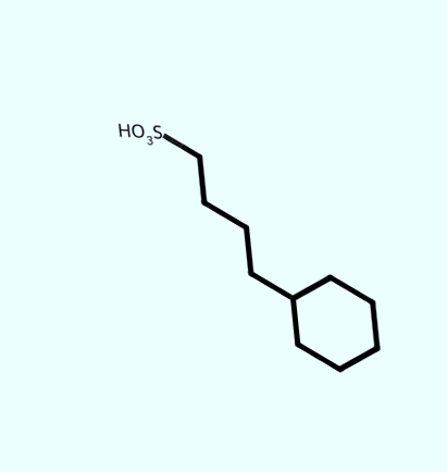 O=S(=O)(O)CCCCC1CCCCC1